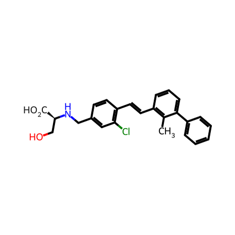 Cc1c(/C=C/c2ccc(CN[C@@H](CO)C(=O)O)cc2Cl)cccc1-c1ccccc1